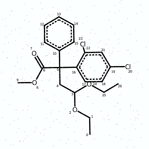 CCOC(CC(C(=O)OC)(c1ccccc1)c1ccc(Cl)cc1Cl)OCC